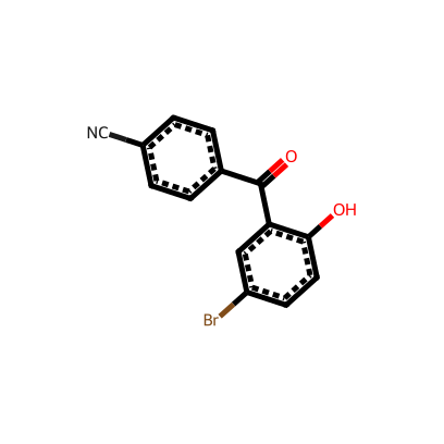 N#Cc1ccc(C(=O)c2cc(Br)ccc2O)cc1